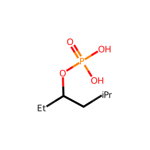 CCC(CC(C)C)OP(=O)(O)O